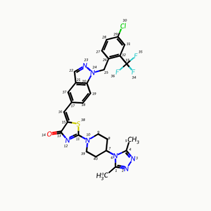 Cc1nnc(C)n1C1CCN(C2=NC(=O)/C(=C/c3ccc4c(cnn4Cc4ccc(Cl)cc4C(F)(F)F)c3)S2)CC1